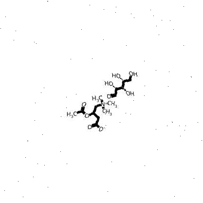 CC(=O)OC(CC(=O)[O-])C[N+](C)(C)C.O=C[C@H](O)[C@H](O)[C@H](O)CO